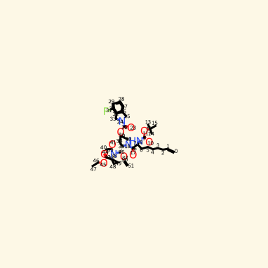 C=CCCCCCC(NC(=O)OC(C)(C)C)C(=O)N1C[C@H](OC(=O)N2Cc3cccc(F)c3C2)C[C@H]1C(=O)N(C(C)=O)[C@]1(C(=O)OCC)C[C@H]1C=C